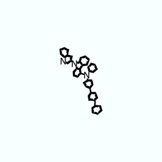 c1ccc(-c2ccc(-c3ccc(N(c4ccccc4)c4cccc5c4c4ccccc4n5-c4cnc5ccccc5c4)cc3)cc2)cc1